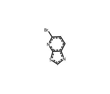 Brc1ccc2n[c]sc2n1